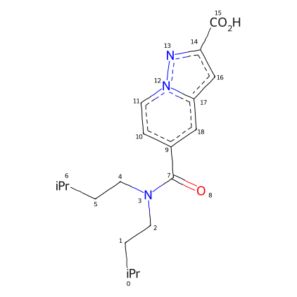 CC(C)CCN(CCC(C)C)C(=O)c1ccn2nc(C(=O)O)cc2c1